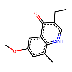 CCc1c[nH]c2c(C)cc(OC)cc2c1=O